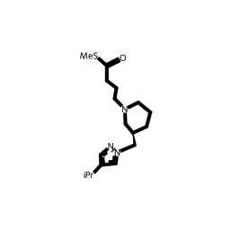 CSC(=O)CCCN1CCC[C@@H](Cn2cc(C(C)C)cn2)C1